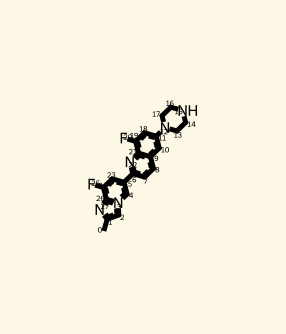 Cc1cn2cc(-c3ccc4cc(N5CCNCC5)cc(F)c4n3)cc(F)c2n1